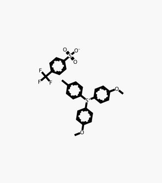 COc1ccc([S+](c2ccc(C)cc2)c2ccc(OC)cc2)cc1.O=S(=O)([O-])c1ccc(C(F)(F)F)cc1